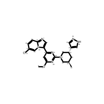 COc1cc(-c2cnc3ccc(Cl)cn23)nc(N2C[C@H](C)C[C@@H](c3cn[nH]c3)C2)n1